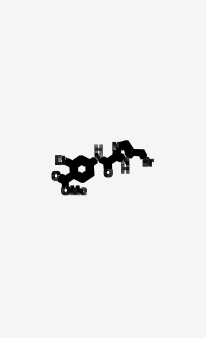 CCc1cc(NC(=O)c2ncc(CBr)[nH]2)ccc1C(=O)OC